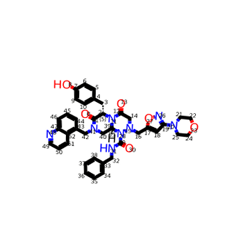 O=C1[C@H](Cc2ccc(O)cc2)N2C(=O)CN(Cc3cc(N4CCOCC4)no3)N(C(=O)NCc3ccccc3)[C@H]2CN1Cc1cccc2ncccc12